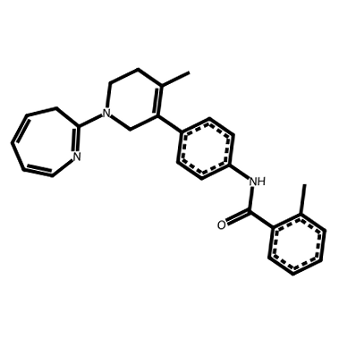 CC1=C(c2ccc(NC(=O)c3ccccc3C)cc2)CN(C2=NC=CC=CC2)CC1